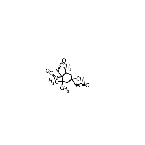 CC1CC(C)(N=C=O)CC(C)(C)C1(N=C=O)N=C=O